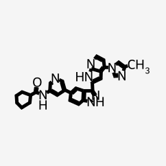 Cc1cn(-c2ccnc3[nH]c(-c4n[nH]c5ccc(-c6cncc(NC(=O)C7CCCCC7)c6)cc45)cc23)cn1